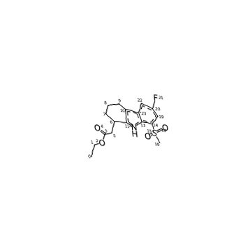 CCOC(=O)CC1CCCc2c1[nH]c1c(S(C)(=O)=O)cc(F)cc21